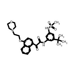 CC(C)(C)c1cc(NC(=O)C(=O)c2ccc(OCCN3CCOCC3)c3ccccc23)cc(NS(C)(=O)=O)c1